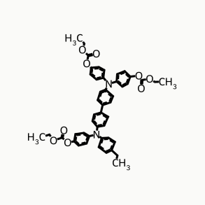 CCOC(=O)Oc1ccc(N(c2ccc(CC)cc2)c2ccc(-c3ccc(N(c4ccc(OC(=O)OCC)cc4)c4ccc(OC(=O)OCC)cc4)cc3)cc2)cc1